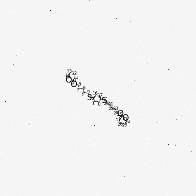 c1cc(SCCCCCOC2CCCCO2)ccc1SCCCCCOC1CCCCO1